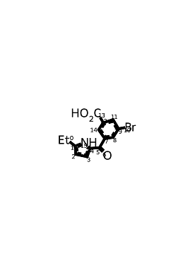 CCc1ccc(C(=O)c2cc(Br)cc(C(=O)O)c2)[nH]1